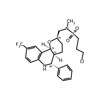 CN(C[C@H]1CC[C@@H]2[C@H](O1)c1cc(C(F)(F)F)ccc1N[C@H]2c1ccccc1)S(=O)(=O)CCCCl